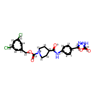 O=C(Nc1ccc(-c2n[nH]c(=O)o2)cc1)C1CCN(C(=O)OCc2cc(Cl)cc(Cl)c2)CC1